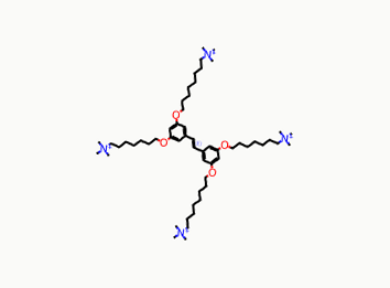 C[N+](C)(C)CCCCCCCCOc1cc(/C=C/c2cc(OCCCCCCCC[N+](C)(C)C)cc(OCCCCCCC[N+](C)(C)C)c2)cc(OCCCCCCC[N+](C)(C)C)c1